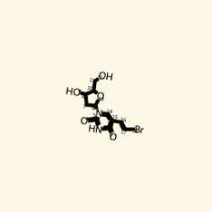 O=c1[nH]c(=O)n(C2CC(O)C(CO)O2)cc1/C=C/Br